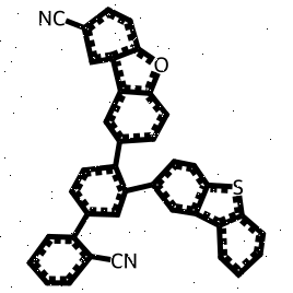 N#Cc1ccc2oc3ccc(-c4ccc(-c5ccccc5C#N)cc4-c4ccc5sc6ccccc6c5c4)cc3c2c1